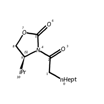 CCCCCCCCC(=O)N1C(=O)OC[C@@H]1C(C)C